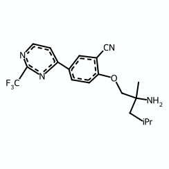 CC(C)CC(C)(N)COc1ccc(-c2ccnc(C(F)(F)F)n2)cc1C#N